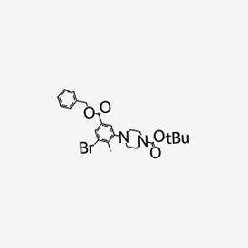 Cc1c(Br)cc(C(=O)OCc2ccccc2)cc1N1CCN(C(=O)OC(C)(C)C)CC1